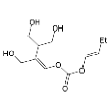 CCC=COC(=O)OC=C(CO)C(CO)CO